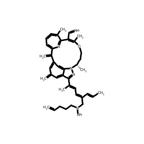 C=CCCCN(CCC)CC(/C=C/C)=C/C=C(\C)c1nn2c3c1=CC(=C)C=C(C=3)C(=C)C1=CC=C=C(C)C(=N1)/C(C=N)=C(/C)OCC[C@@H]2C